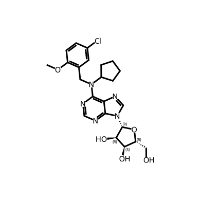 COc1ccc(Cl)cc1CN(c1ncnc2c1ncn2[C@@H]1O[C@H](CO)[C@@H](O)[C@H]1O)C1CCCC1